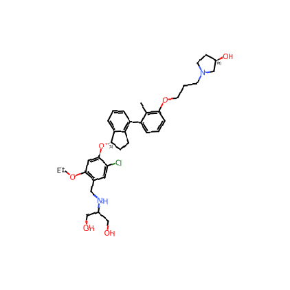 CCOc1cc(O[C@H]2CCc3c(-c4cccc(OCCCN5CC[C@@H](O)C5)c4C)cccc32)c(Cl)cc1CNC(CO)CO